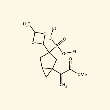 C=C(C(=O)OC)C12CC1CC(C1OC(C)O1)(P(=O)(OCC)OCC)C2